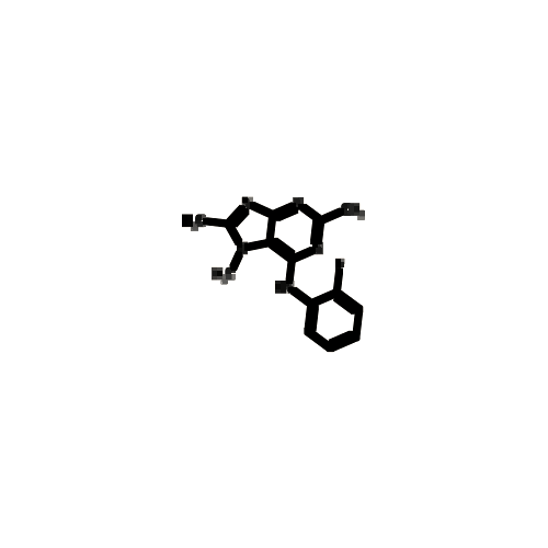 Cc1nc(Nc2ccccc2F)c2c(n1)nc(C)n2C